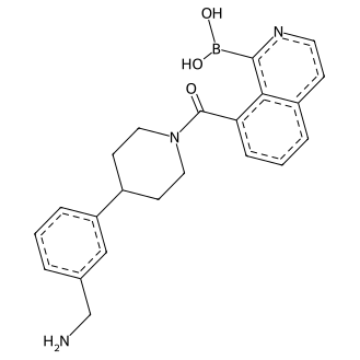 NCc1cccc(C2CCN(C(=O)c3cccc4ccnc(B(O)O)c34)CC2)c1